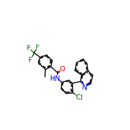 Cc1cc(C(F)(F)F)ccc1C(=O)Nc1ccc(Cl)c(-c2nccc3ccccc23)c1